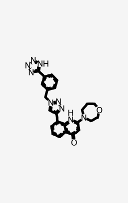 O=c1cc(N2CCCOCC2)[nH]c2c(-c3cn(Cc4cccc(-c5nnn[nH]5)c4)nn3)cccc12